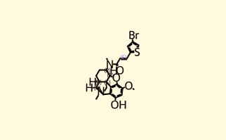 COc1cc(O)c2c3c1O[C@H]1[C@H](N(C)C(=O)/C=C/c4cc(Br)cs4)CC[C@H]4[C@@H](C2)N(C)CC[C@@]341